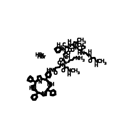 Br.Br.CNCC(=O)NCCNC(=O)CNC(=O)[C@H](CC(C)C)NC(=O)[C@H](C)N(C(=O)CNC(=O)[C@H](CCCCN)N(C(=O)CCC(=O)Nc1ccc(-c2c3nc(c(-c4ccccc4)c4ccc([nH]4)c(-c4ccccc4)c4nc(c(-c5ccccc5)c5ccc2[nH]5)C=C4)C=C3)cc1)C(=O)CNC)c1ccccc1